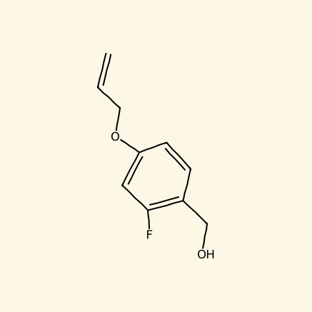 C=CCOc1ccc(CO)c(F)c1